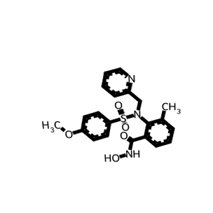 COc1ccc(S(=O)(=O)N(Cc2ccccn2)c2c(C)cccc2C(=O)NO)cc1